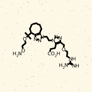 CC(C)(OCCON)C1CCCCCc2c1nnn2CCn1nnc(COCCNC(=N)N)c1CCC(=O)O